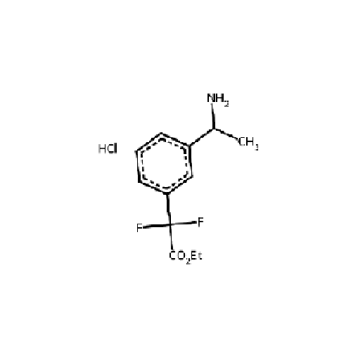 CCOC(=O)C(F)(F)c1cccc(C(C)N)c1.Cl